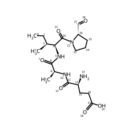 CC[C@H](C)[C@H](NC(=O)[C@H](C)NC(=O)[C@@H](N)CCC(=O)O)C(=O)N1CCC[C@H]1[C]=O